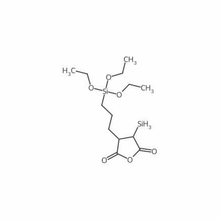 CCO[Si](CCCC1C(=O)OC(=O)C1[SiH3])(OCC)OCC